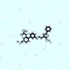 Cc1oc(-c2ccccc2)nc1CCOc1cccc(C2=C(CC(=O)O)CN(C)CC2)c1